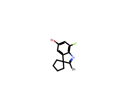 CC(C)C1=Nc2c(F)cc(Br)cc2C12CCCC2